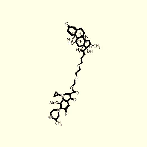 COc1c(N2CCNC(C)C2)c(F)cc2c(=O)c(C(=O)OCCOCCOCC[CH]C(=O)[C@]3(O)[C@H](C)C[C@@H]4[C@H]5CCC6=CC(=O)C=C[C@@]6(C)[C@]5(F)[C@H](O)C[C@]43C)cn(C3CC3)c12